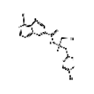 CC(C)CC(C)(Cc1ccc(Cl)cc1)NC(=O)c1cnc2c(F)cccc2c1